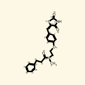 CN(CCOc1ccc(C=C2SC(=O)NC2=O)cc1)C(=O)CCc1ccccc1